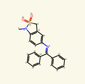 CN1c2ccc(N=C(c3ccccc3)c3ccccc3)cc2CS1(=O)=O